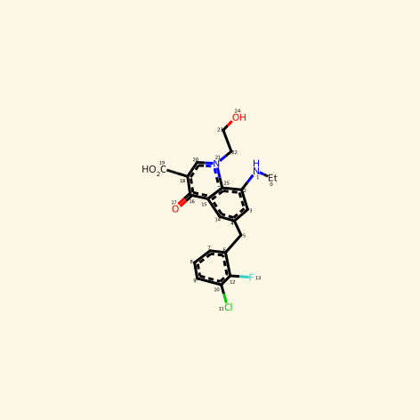 CCNc1cc(Cc2cccc(Cl)c2F)cc2c(=O)c(C(=O)O)cn(CCO)c12